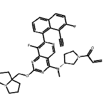 C#Cc1c(F)ccc2cccc(-c3ncc4c(N(C)[C@@H]5CCN(C(=O)C=C)C5)nc(OCC56CCCN5CCC6)nc4c3F)c12